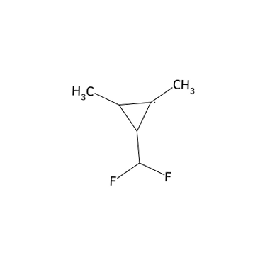 C[C]1C(C)C1C(F)F